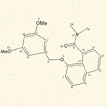 COc1cc(COc2cccc3cccc(C(=O)N(C)C)c23)cc(OC)c1